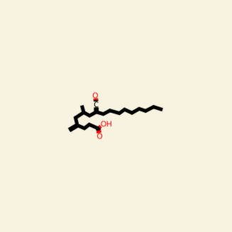 C=C(CCC(=O)O)CC(C)CC(=C=O)CCCCCCCCC